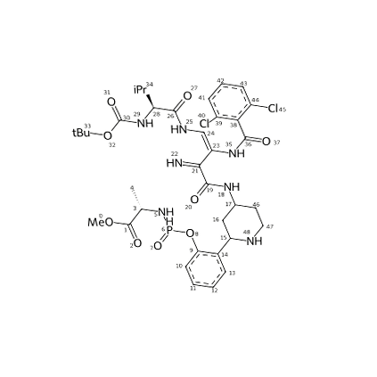 COC(=O)[C@H](C)N[PH](=O)Oc1ccccc1C1CC(NC(=O)C(=N)/C(=C\NC(=O)[C@@H](NC(=O)OC(C)(C)C)C(C)C)NC(=O)c2c(Cl)cccc2Cl)CCN1